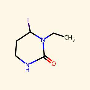 CCN1C(=O)NCCC1I